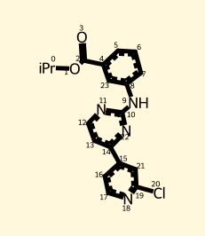 CC(C)OC(=O)c1cccc(Nc2nccc(-c3ccnc(Cl)c3)n2)c1